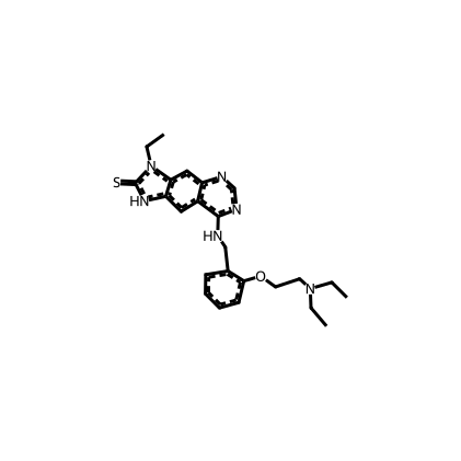 CCN(CC)CCOc1ccccc1CNc1ncnc2cc3c(cc12)[nH]c(=S)n3CC